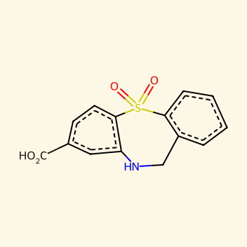 O=C(O)c1ccc2c(c1)NCc1ccccc1S2(=O)=O